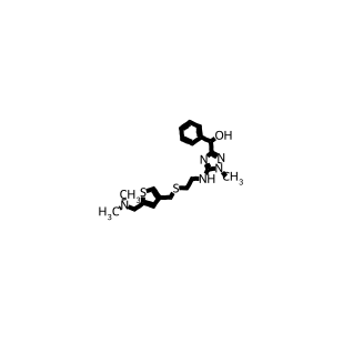 CN(C)Cc1cc(CSCCNc2nc(C(O)c3ccccc3)nn2C)cs1